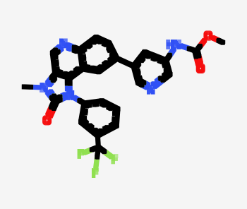 COC(=O)Nc1cncc(-c2ccc3ncc4c(c3c2)n(-c2cccc(C(F)(F)F)c2)c(=O)n4C)c1